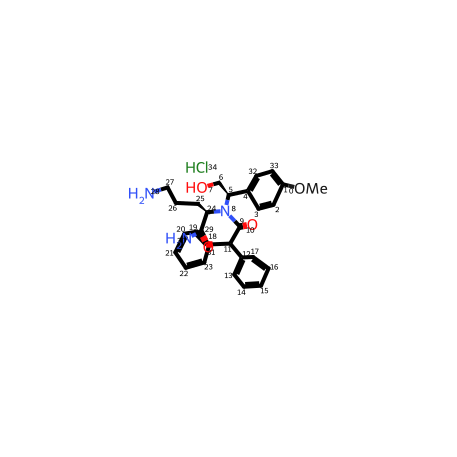 COc1ccc([C@H](CO)N(C(=O)C(c2ccccc2)c2ccccc2)[C@H](CCCN)C(N)=O)cc1.Cl